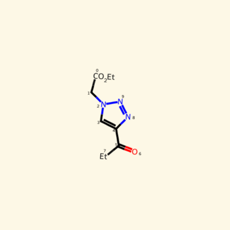 CCOC(=O)Cn1cc(C(=O)CC)nn1